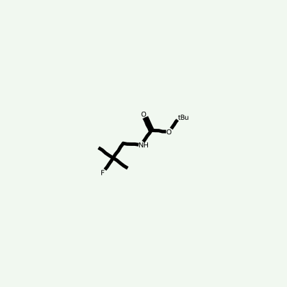 CC(C)(F)CNC(=O)OC(C)(C)C